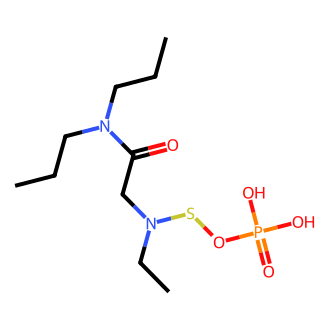 CCCN(CCC)C(=O)CN(CC)SOP(=O)(O)O